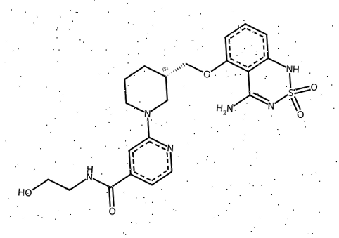 NC1=NS(=O)(=O)Nc2cccc(OC[C@H]3CCCN(c4cc(C(=O)NCCO)ccn4)C3)c21